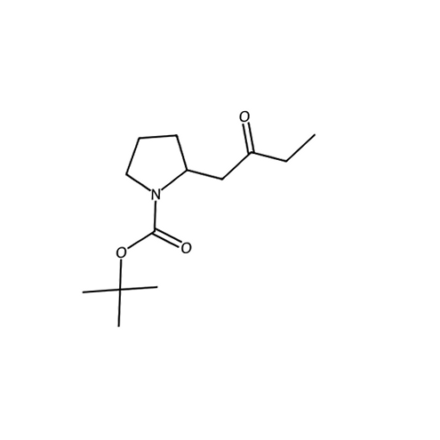 CCC(=O)CC1CCCN1C(=O)OC(C)(C)C